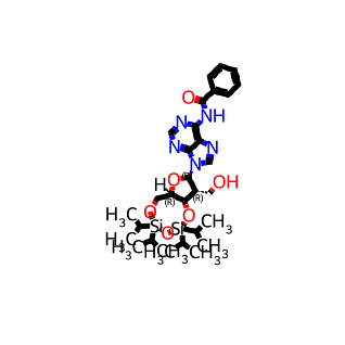 CC(C)[Si]1(C(C)C)OC[C@H]2O[C@@H](n3cnc4c(NC(=O)c5ccccc5)ncnc43)[C@H](CO)C2O[Si](C(C)C)(C(C)C)O1